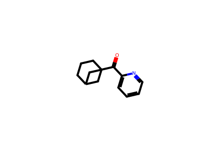 O=C(c1ccccn1)C12CCCC(C1)C2